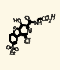 CCS(=O)(=O)c1ccc2sc3c(O)c(C(=O)NCC(=O)O)nc(Cl)c3c2c1